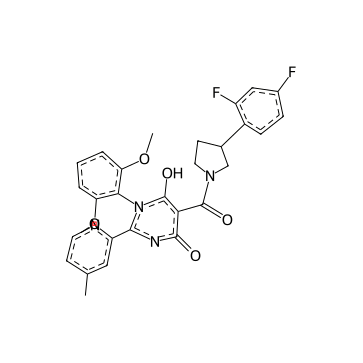 COc1cccc(OC)c1-n1c(-c2cc(C)ccn2)nc(=O)c(C(=O)N2CCC(c3ccc(F)cc3F)C2)c1O